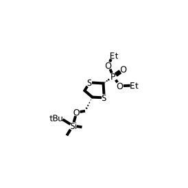 CCOP(=O)(OCC)[C@H]1SC[C@@H](CO[Si](C)(C)C(C)(C)C)S1